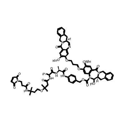 COc1cc2c(cc1OCCCOc1cc3c(cc1OC)C(=O)N1Cc4ccccc4C[C@H]1C(O)N3C(=O)OCc1ccc(NC(=O)[C@H](C)NC(=O)C(NC(=O)CC(C)(C)OCCC(C)(C)NC(=O)CCN3C(=O)C=CC3=O)C(C)C)cc1)N=C[C@@H]1Cc3ccccc3CN1C2=O